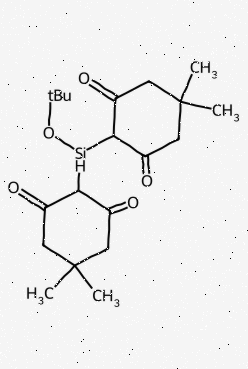 CC1(C)CC(=O)C([SiH](OC(C)(C)C)C2C(=O)CC(C)(C)CC2=O)C(=O)C1